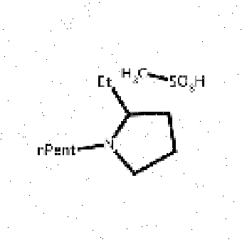 CCCCCN1CCCC1CC.CS(=O)(=O)O